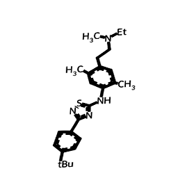 CCN(C)CCc1cc(C)c(Nc2nc(-c3ccc(C(C)(C)C)cc3)ns2)cc1C